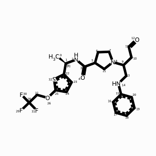 C[C@@H](NC(=O)C1CCN(C(CC=O)CNc2ccccc2)C1)c1ccc(OCC(F)(F)F)s1